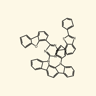 c1ccc(-c2nc3cccc(-c4nc(-c5cccc6c5oc5ccccc56)nc(-n5c6ccccc6c6ccc7c8ccccc8n(-c8ccccc8)c7c65)n4)c3s2)cc1